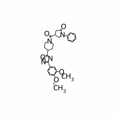 CCOc1ccc(-c2noc(C3CCN(C(=O)[C@H]4CC(=O)N(c5ccccc5)C4)CC3)n2)cc1OC